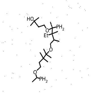 CCC(C)(C(C)COC(C)(C)C(C)(C)CCOC(C)P)C(C)(P)OCCC(C)(C)O